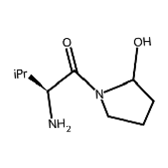 CC(C)[C@H](N)C(=O)N1CCCC1O